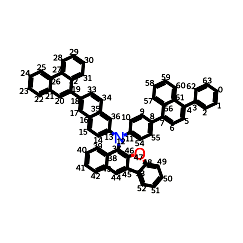 c1ccc(-c2ccc(-c3ccc(N(c4ccc5cc(-c6cc7ccccc7c7ccccc67)ccc5c4)c4c5ccccc5cc5c4oc4ccccc45)cc3)c3ccccc23)cc1